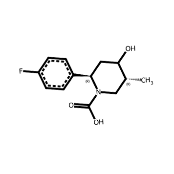 C[C@@H]1CN(C(=O)O)[C@@H](c2ccc(F)cc2)CC1O